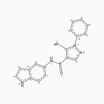 CCCc1c(C(=O)Nc2ccc3[nH]ccc3c2)cnn1-c1ccccc1